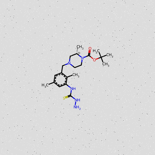 Cc1cc(CN2CCN(C(=O)OC(C)(C)C)[C@@H](C)C2)c(C)c(NC(=S)NN)c1